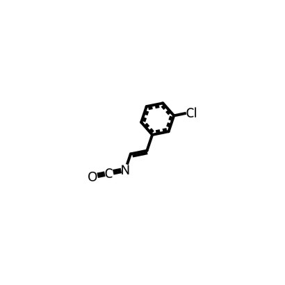 O=C=N/C=C/c1cccc(Cl)c1